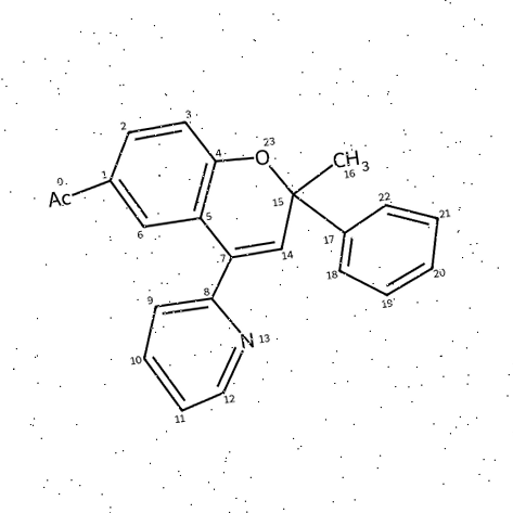 CC(=O)c1ccc2c(c1)C(c1ccccn1)=CC(C)(c1ccccc1)O2